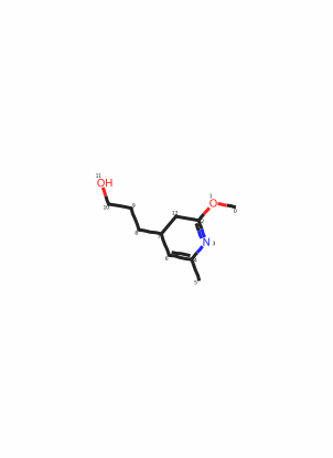 COC1=NC(C)=CC(CCCO)C1